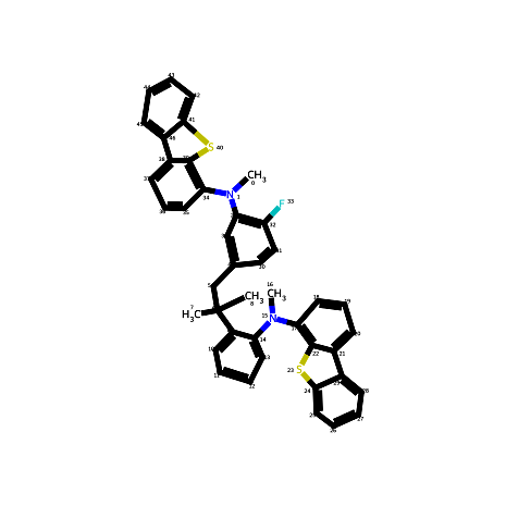 CN(c1cc(CC(C)(C)c2ccccc2N(C)c2cccc3c2sc2ccccc23)ccc1F)c1cccc2c1sc1ccccc12